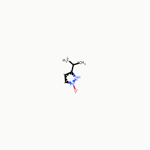 CC(C)c1c[c][n+]([O-])[nH]1